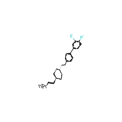 CCCC=C[C@H]1CC[C@H](CCc2ccc(-c3ccc(F)c(F)c3)cc2)CC1